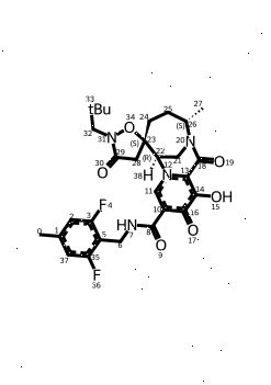 Cc1cc(F)c(CNC(=O)c2cn3c(c(O)c2=O)C(=O)N2C[C@@H]3[C@]3(CC[C@@H]2C)CC(=O)N(CC(C)(C)C)O3)c(F)c1